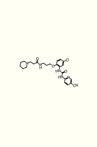 N#Cc1ccc(NC(=O)Nc2cc(Cl)ccc2OCCCNC(=O)CCN2CCCCC2)nc1